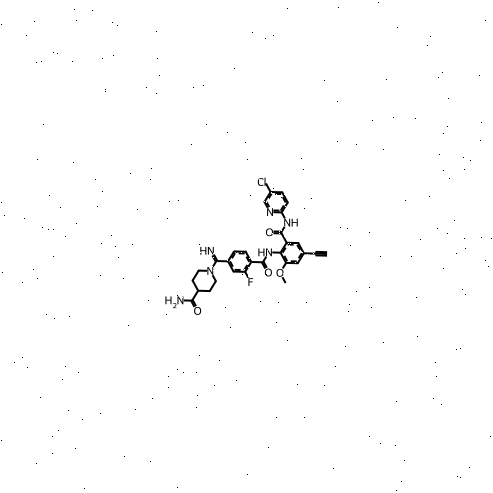 C#Cc1cc(OC)c(NC(=O)c2ccc(C(=N)N3CCC(C(N)=O)CC3)cc2F)c(C(=O)Nc2ccc(Cl)cn2)c1